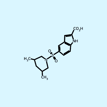 CC1CC(C)CN(S(=O)(=O)c2ccc3[nH]c(C(=O)O)cc3c2)C1